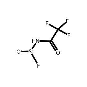 O=C(N[S+]([O-])F)C(F)(F)F